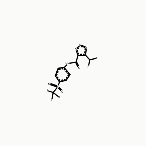 O=S(=O)(c1ccc(NC(=S)c2snnc2C(F)F)cc1)C(F)(F)F